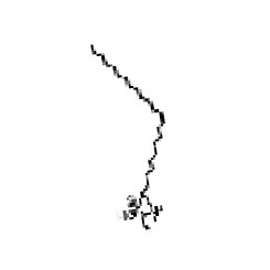 CCCCCCCCCCCC/C=C\CCCCCCCCCOP(=O)(O)C(CC)[N+](C)(C)C